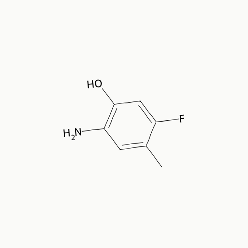 Cc1cc(N)c(O)cc1F